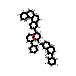 c1ccc(-c2ccccc2N(c2ccc(-c3ccc4c(ccc5ccc6ccccc6c54)c3)cc2)c2ccc3ccc4c5ccccc5sc4c3c2)cc1